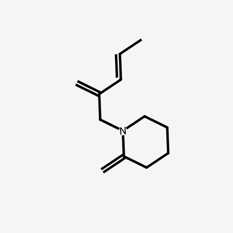 C=C(/C=C/C)CN1CCCCC1=C